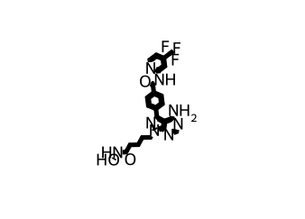 Nc1ncnc2c1c(-c1ccc(C(=O)Nc3cc(C(F)(F)F)ccn3)cc1)nn2CCCCC(=O)NO